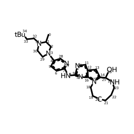 CC1CN(c2ccc(Nc3ncc4cc5n(c4n3)CCCCCCNC5O)nc2)CCN1CCC(C)(C)C